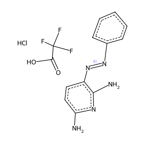 Cl.Nc1ccc(/N=N/c2ccccc2)c(N)n1.O=C(O)C(F)(F)F